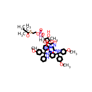 CCC(C)(C)C(=O)SCCO[PH](=O)OC[C@H]1O[C@@](C#N)(c2cnc3c(NC(c4ccccc4)(c4ccc(OC)cc4)c4ccc(OC)cc4)nc(NC(c4ccccc4)(c4ccc(OC)cc4)c4ccc(OC)cc4)nn23)[C@](C)(O)[C@@H]1O